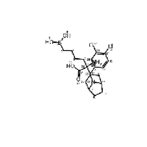 N[C@](CCCCB(O)O)(C(=O)O)C1CC2CCC(C1)N2Cc1ccc(Cl)c(Cl)c1